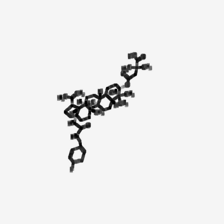 C=C(C)[C@@H]1CC[C@]2(NC(=O)NCc3ccc(F)cc3)CC[C@]3(C)[C@H](CC[C@@H]4[C@@]5(C)CC[C@H](OC(=O)CC(C)(C)C(=O)O)C(C)(C)[C@@H]5CC[C@]43C)[C@@H]12